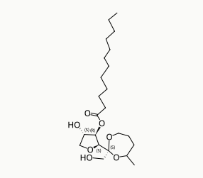 CCCCCCCCCCCC(=O)O[C@@H]1[C@@H](O)CO[C@@H]1[C@@]1(CO)OCCCC(C)O1